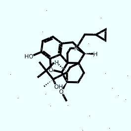 CO[C@]12CCC3(C[C@@H]1[C@@](C)(O)C(C)(C)C)[C@H]1Cc4ccc(O)c5c4C3(CCN1CC1CC1)C2O5